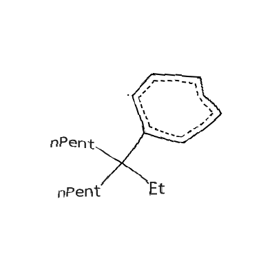 CCCCCC(CC)(CCCCC)c1[c]cccc1